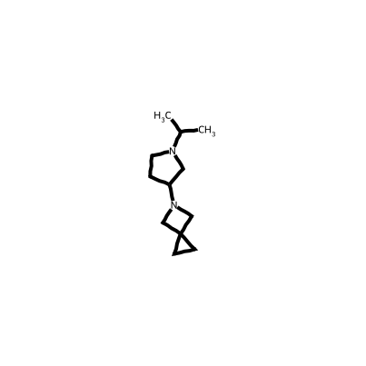 CC(C)N1CCC(N2CC3(CC3)C2)C1